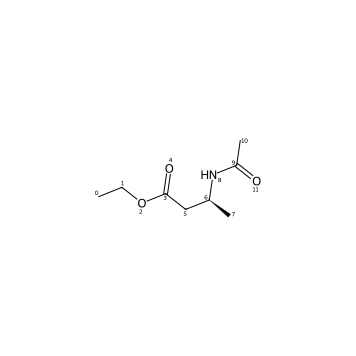 CCOC(=O)C[C@H](C)NC(C)=O